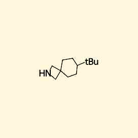 CC(C)(C)C1CCC2(CC1)CNC2